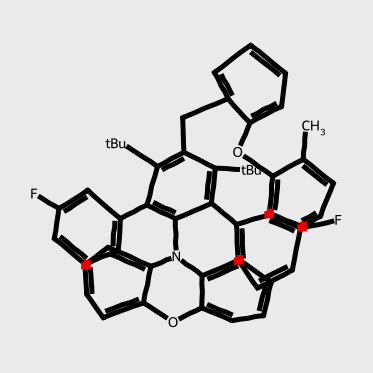 Cc1ccccc1Oc1ccccc1Cc1c(C(C)(C)C)c(-c2cccc(F)c2)c(N2c3ccccc3Oc3ccccc32)c(-c2cccc(F)c2)c1C(C)(C)C